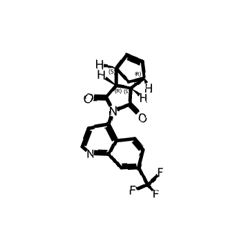 O=C1[C@@H]2[C@H](C(=O)N1c1ccnc3cc(C(F)(F)F)ccc13)[C@@H]1C=C[C@H]2C1